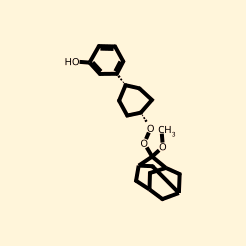 COC1(OO[C@H]2CC[C@@H](c3cccc(O)c3)CC2)C2CC3CC(C2)CC1C3